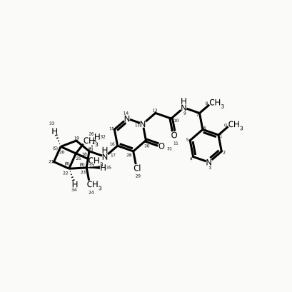 Cc1cnccc1C(C)NC(=O)Cn1ncc(N[C@@H]2C[C@@H]3C[C@H]([C@H]2C)C3(C)C)c(Cl)c1=O